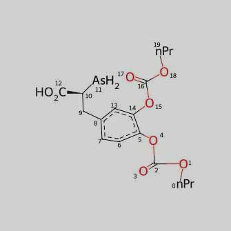 CCCOC(=O)Oc1ccc(C[C@H]([AsH2])C(=O)O)cc1OC(=O)OCCC